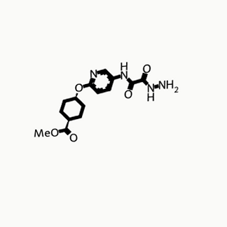 COC(=O)[C@H]1CC[C@H](Oc2ccc(NC(=O)C(=O)NN)cn2)CC1